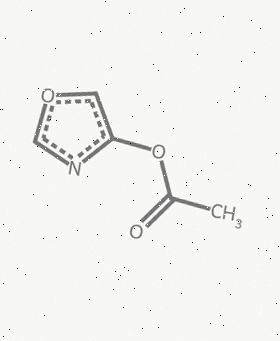 CC(=O)Oc1cocn1